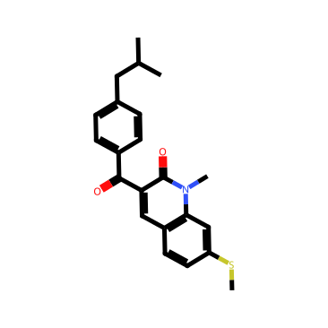 CSc1ccc2cc(C(=O)c3ccc(CC(C)C)cc3)c(=O)n(C)c2c1